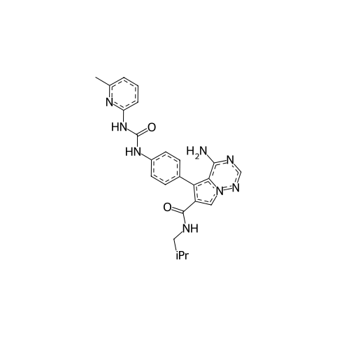 Cc1cccc(NC(=O)Nc2ccc(-c3c(C(=O)NCC(C)C)cn4ncnc(N)c34)cc2)n1